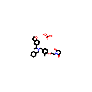 Cc1cc(CN(CC2CCCCC2)C(C)c2ccc3c(c2)CCO3)ccc1OCCN1C(=O)CCC1=O.O=C(O)O